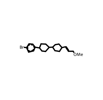 COC/C=C/C1CCC(C2CCC(c3ccc(Br)cc3)CC2)CC1